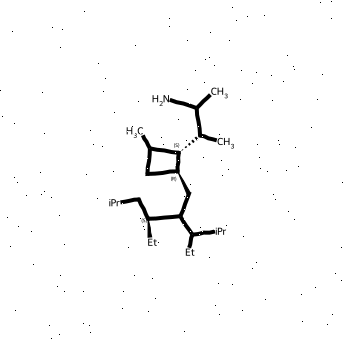 CCC(C(C)C)C(C[C@H]1CC(C)[C@@H]1C(C)C(C)N)[C@@H](CC)CC(C)C